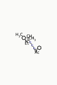 CC[N+]1=C(/C=C/C=C/C=C/N(C(C)=O)c2ccccc2)C(C)(C)c2cc(C)ccc21